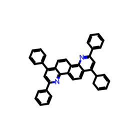 C1=CCC(c2cc(-c3ccccc3)nc3c2ccc2c3ccc3c(-c4ccccc4)cc(-c4ccccc4)nc32)C=C1